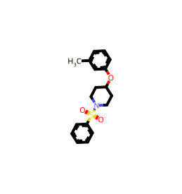 Cc1cccc(OC2CCN(S(=O)(=O)c3ccccc3)CC2)c1